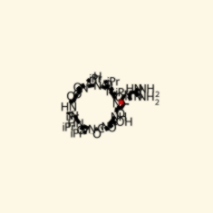 CC(C)C[C@@H]1C(=O)N[C@H](CC(C)C)C(=O)N(C)C(C(C)C)C(=O)N(C)C(C[C@H](C)CCN(C)C/C(=N/N)NN)C(=O)NC([C@@H](C)O)C(=O)N(C)CC(=O)N(C)[C@@H](CC(C)C)C(=O)N[C@H](CC(C)C)N(C)[C@H](CC(C)C)NC(C)C(=O)OC(=O)N1C